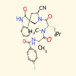 CC(C)C[C@@H](C(=O)N1C[C@]2(C[C@H]1C#N)C(=O)Nc1ccccc12)N(C)C(=O)[C@H](C)NC(=O)c1ccc(F)cc1